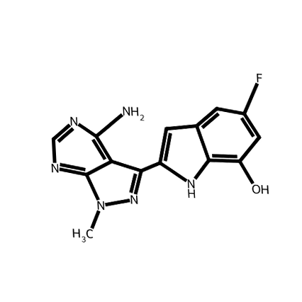 Cn1nc(-c2cc3cc(F)cc(O)c3[nH]2)c2c(N)ncnc21